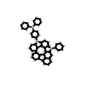 c1ccc(N(c2ccccc2)c2ccc(-n3c4cccc5c6cccc7c6c6c8c-7cccc8cc7c6c6c(c54)c3ccc6n7-c3ccccc3)cc2)cc1